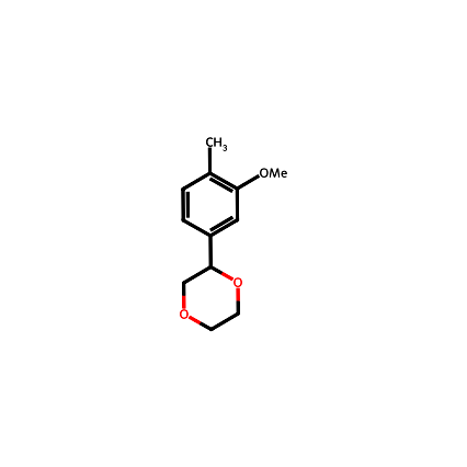 COc1cc(C2COCCO2)ccc1C